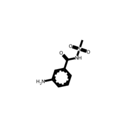 CS(=O)(=O)NC(=O)c1cccc(N)c1